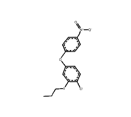 CCCSc1cc(Oc2ccc([N+](=O)[O-])cc2)ccc1Cl